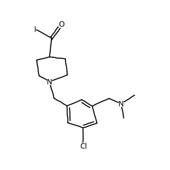 CN(C)Cc1cc(Cl)cc(CN2CCC(C(=O)I)CC2)c1